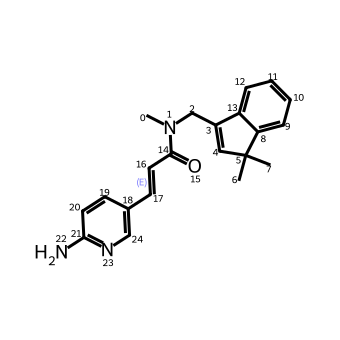 CN(CC1=CC(C)(C)c2ccccc21)C(=O)/C=C/c1ccc(N)nc1